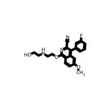 COc1ccc2c(OCCNCCO)nc(C#N)c(-c3cccc(F)c3)c2c1